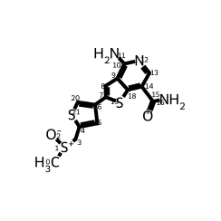 C[S+]([O-])Cc1cc(-c2cc3c(N)ncc(C(N)=O)c3s2)cs1